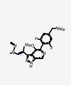 C=NN(C)/C=C(\C)c1n[nH]c2cnc(-c3c(F)cc(CNC)cc3F)c(OC)c12